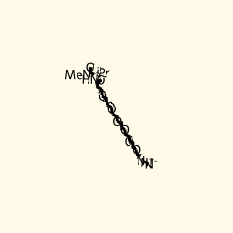 CNC(=O)[C@@H](NC(=O)CCOCCOCCOCCOCCOCCOCCN=[N+]=[N-])C(C)C